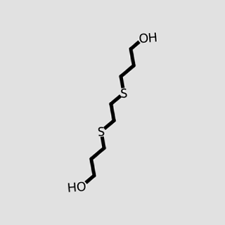 OCCCSCCSCCCO